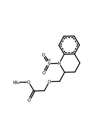 CC(C)(C)OC(=O)COCC1CCc2ccccc2N1[SH](=O)=O